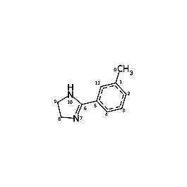 Cc1cccc(C2=NCCN2)c1